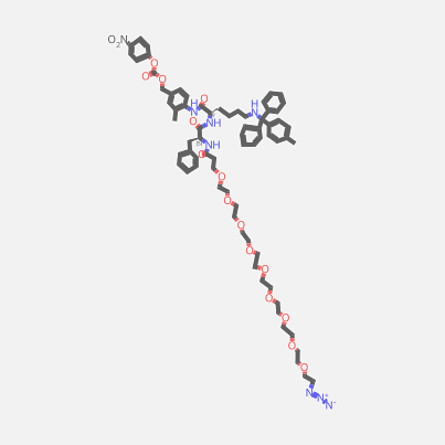 Cc1ccc(C(NCCCC[C@H](NC(=O)[C@H](Cc2ccccc2)NC(=O)CCOCCOCCOCCOCCOCCOCCOCCOCCOCCN=[N+]=[N-])C(=O)Nc2ccc(COC(=O)Oc3ccc([N+](=O)[O-])cc3)cc2C)(c2ccccc2)c2ccccc2)cc1